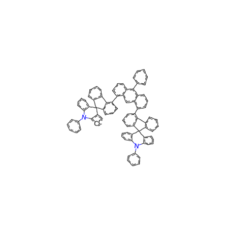 c1ccc(-c2c3cccc(-c4cccc5c4-c4ccccc4C54c5ccccc5N(c5ccccc5)c5ccccc54)c3cc3c(-c4cccc5c4-c4ccccc4C54c5ccccc5N(c5ccccc5)c5ccccc54)cccc23)cc1